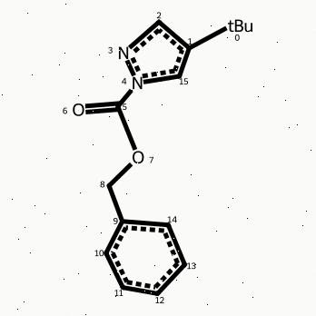 CC(C)(C)c1cnn(C(=O)OCc2ccccc2)c1